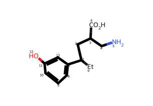 CCC(CC(CN)C(=O)O)c1cccc(O)c1